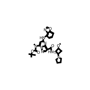 CO[C@H]1CC(N2CCCC2)[C@@H]1NC(=O)c1cnn2c(N(C)C(=O)OC(C)(C)C)cc(Nc3cccc4ocnc34)nc12